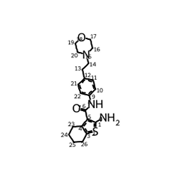 Nc1sc2c(c1C(=O)Nc1ccc(CCN3CCOCC3)cc1)CCCC2